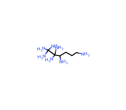 NCCCC(N)C(N)(N)C(N)(N)N